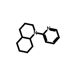 c1ccc(N2CCCC3CCCCC32)nc1